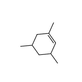 CC1=CC(C)CC(C)C1